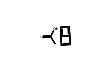 CC(=O)O.c1cc2ccc1-2